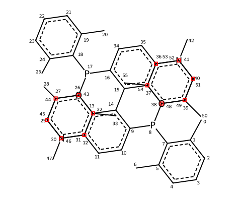 Cc1cccc(C)c1P(c1ccc2c(c1-c1c(P(c3c(C)cccc3C)c3c(C)cccc3C)ccc3c1OCCN3C)OCCN2C)c1c(C)cccc1C